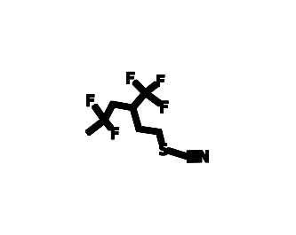 CC(F)(F)CC(CCSC#N)C(F)(F)F